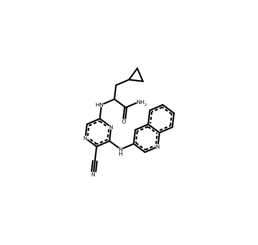 N#Cc1ncc(NC(CC2CC2)C(N)=O)nc1Nc1cnc2ccccc2c1